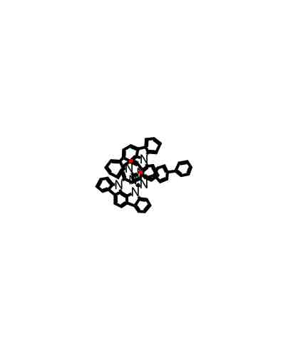 C1#CC/C=C(n2c3ccccc3c3ccc4c5ccccc5n(-c5nc(C6C=CC(c7ccccc7)=CC6)nc(-n6c7ccccc7c7ccc8c9ccccc9n(-c9ccccc9)c8c76)n5)c4c32)\C=C/C1